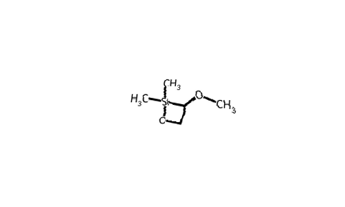 COC1CO[Si]1(C)C